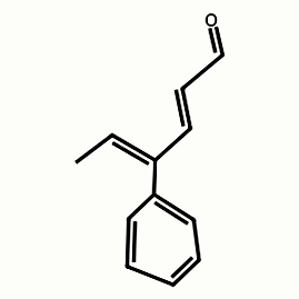 C/C=C(/C=C/C=O)c1ccccc1